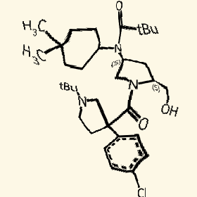 CC1(C)CCC(N(C(=O)C(C)(C)C)[C@H]2C[C@@H](CO)N(C(=O)C3(c4ccc(Cl)cc4)CCN(C(C)(C)C)C3)C2)CC1